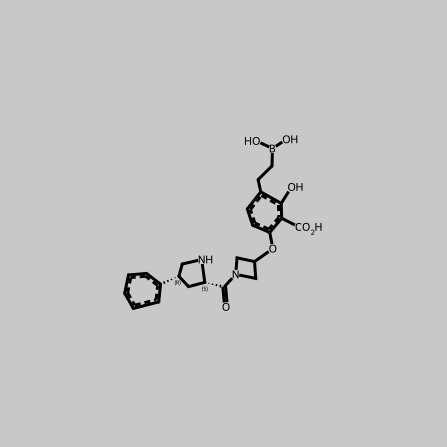 O=C(O)c1c(OC2CN(C(=O)[C@@H]3C[C@H](c4ccccc4)CN3)C2)ccc(CCB(O)O)c1O